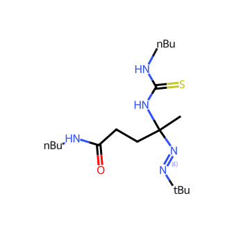 CCCCNC(=O)CCC(C)(/N=N/C(C)(C)C)NC(=S)NCCCC